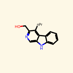 CCCc1c(CO)ncc2[nH]c3ccccc3c12